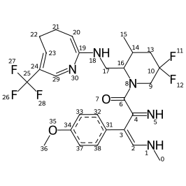 CN/C=C(\C(=N)C(=O)N1CC(F)(F)CC(C)C1CNC1=C/CC/C=C(C(F)(F)F)/C=N\1)c1ccc(OC)cc1